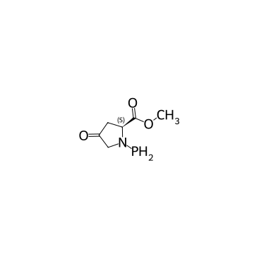 COC(=O)[C@@H]1CC(=O)CN1P